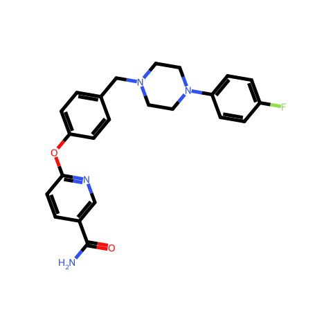 NC(=O)c1ccc(Oc2ccc(CN3CCN(c4ccc(F)cc4)CC3)cc2)nc1